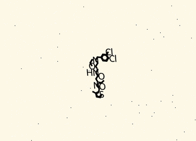 Cc1ccsc1-c1nc(CC(=O)NCC2CN(Cc3ccc(Cl)c(Cl)c3)CCO2)c(C)o1